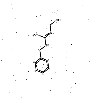 CS/C(=N\CC(C)(C)C)NCc1ccccc1